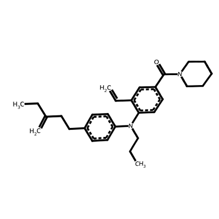 C=Cc1cc(C(=O)N2CCCCC2)ccc1N(CCC)c1ccc(CCC(=C)CC)cc1